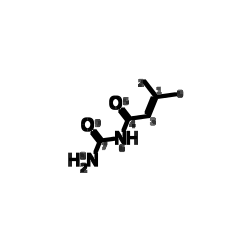 CC(C)=CC(=O)NC(N)=O